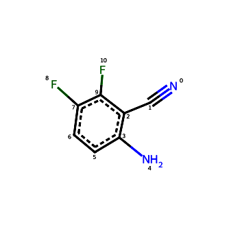 N#Cc1c(N)ccc(F)c1F